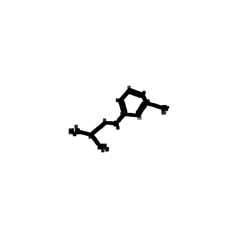 CC(N)COc1cccc(C(C)C)c1